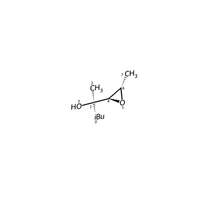 CC[C@@H](C)[C@@](C)(O)[C@@H]1O[C@H]1C